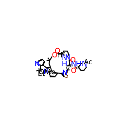 CCn1c(-c2cccnc2[C@H](C)OC)c2c3cc(ccc31)-c1csc(n1)C[C@H](NC(=O)[C@H]1CCCN(C(C)=O)C1)C(=O)N1CCC[C@H](N1)C(=O)OCC(C)(C)C2